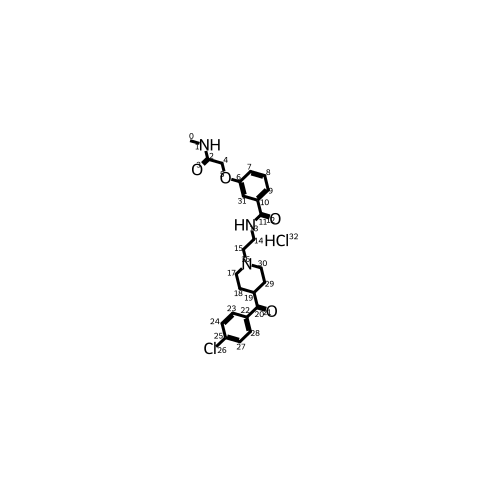 CNC(=O)COc1cccc(C(=O)NCCN2CCC(C(=O)c3ccc(Cl)cc3)CC2)c1.Cl